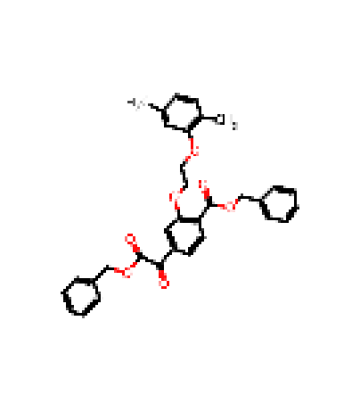 Cc1ccc(C)c(OCCOc2cc(C(=O)C(=O)OCc3ccccc3)ccc2C(=O)OCc2ccccc2)c1